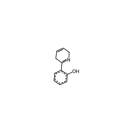 Oc1ccccc1C1=NCC=CC1